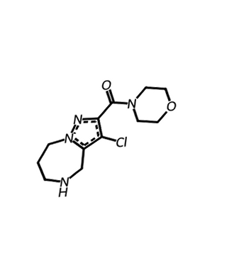 O=C(c1nn2c(c1Cl)CNCCC2)N1CCOCC1